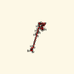 CC[C@]1(O)C(=O)OCc2c1cc1n(c2=O)Cc2c-1nc1cc(F)c(C)c3c1c2[C@H](NC(=O)C1(NC(=O)CNC(=O)CNC(=O)CNC(=O)CNC(=O)CNC(=O)CCOCCOCCOCCOCCNC(=O)c2ccc4nc(CBr)c(CBr)nc4c2)COC1)CC3